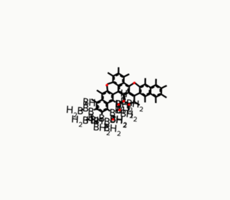 BBB(B(B)B)c1c(B(B(B)B)B(B)B)c(C)c2c(C)c(C)c(-c3c4c(c(C)c5c(C)c(C)c(C)c(C)c35)=C(c3c(C)c(C)c5c(C)c(C)c(C)c(C)c5c3C)C(C)C(C)C=4C)c(B(B)BB)c2c1B(B)B(B)B